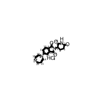 Cl.O=C1CCC(N2C(=O)c3ccc(N4C=CC=NC=C4)cc3C2=O)C(=O)N1